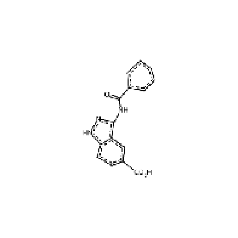 O=C(O)c1ccc2[nH]nc(NC(=O)c3ccccc3)c2c1